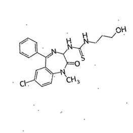 CN1C(=O)C(NC(=S)NCCCO)N=C(c2ccccc2)c2cc(Cl)ccc21